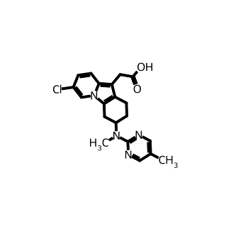 Cc1cnc(N(C)C2CCc3c(CC(=O)O)c4ccc(Cl)cn4c3C2)nc1